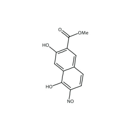 COC(=O)c1cc2ccc(N=O)c(O)c2cc1O